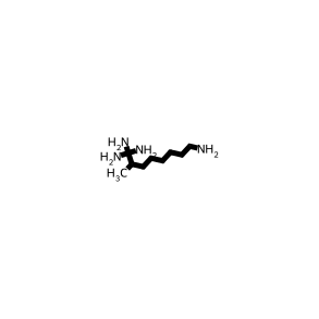 CC(CCCCCCN)C(N)(N)N